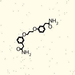 NC(=O)Cc1cccc(OCCCOc2cccc(CC(N)=O)c2)c1